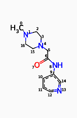 CN1CCN(CC(=O)Nc2cccnc2)CC1